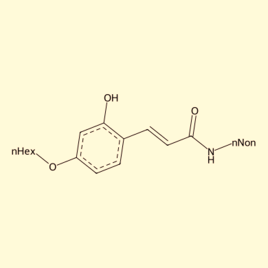 CCCCCCCCCNC(=O)/C=C/c1ccc(OCCCCCC)cc1O